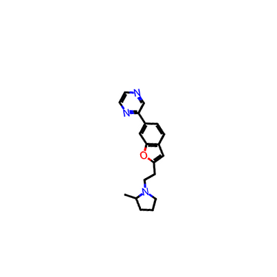 CC1CCCN1CCc1cc2ccc(-c3cnccn3)cc2o1